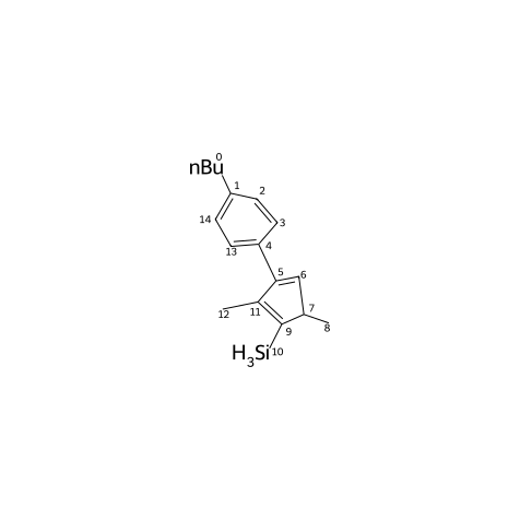 CCCCc1ccc(C2=CC(C)C([SiH3])=C2C)cc1